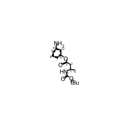 CC(CC(=O)Oc1cccc(N)c1)NC(=O)OC(C)(C)C